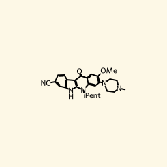 CCCC(C)n1c2cc(N3CCN(C)CC3)c(OC)cc2c(=O)c2c3ccc(C#N)cc3[nH]c21